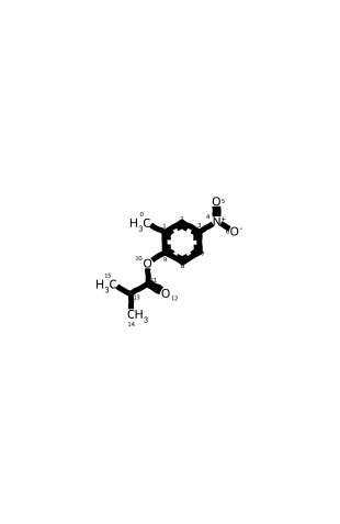 Cc1cc([N+](=O)[O-])ccc1OC(=O)C(C)C